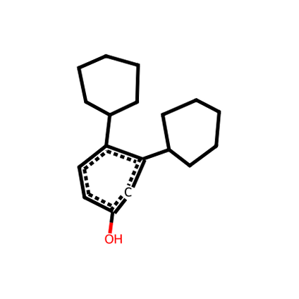 Oc1ccc(C2CCCCC2)c(C2CCCCC2)c1